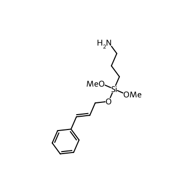 CO[Si](CCCN)(OC)OCC=Cc1ccccc1